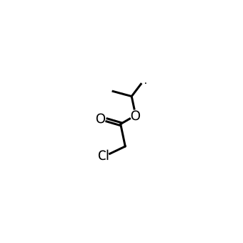 [CH2]C(C)OC(=O)CCl